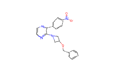 O=[N+]([O-])c1ccc(-c2nccnc2N2CC(OCc3ccccc3)C2)cc1